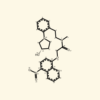 CN(CCc1ccccc1N1CC[C@H](O)C1)C(=O)COc1ccc([N+](=O)[O-])c2cccnc12